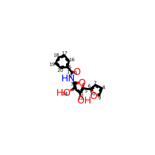 O=C(Nc1oc(-c2ccco2)c(O)c1O)c1ccccc1